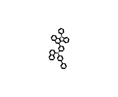 c1ccc(-c2ccc(N(c3cccc(-c4cc5ccccc5c5c4c4ccccc4n5-c4ccccc4)c3)c3cccc4ccccc34)cc2)cc1